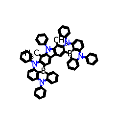 Cc1c2c(cc3c4cc5c(c(C)c4n(-c4ccccc4)c13)N(c1ccccc1)c1cccc3c1B5c1ccccc1N3c1ccccc1)B1c3ccccc3N(c3ccccc3)c3cccc(c31)N2c1ccccc1